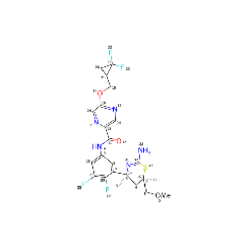 COC[C@@]1(C)C[C@@](C)(c2cc(NC(=O)c3cnc(OCC4CC4(F)F)cn3)cc(F)c2F)N=C(N)S1